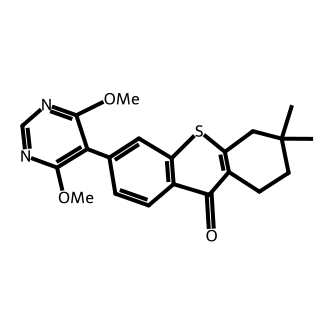 COc1ncnc(OC)c1-c1ccc2c(=O)c3c(sc2c1)CC(C)(C)CC3